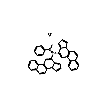 C[Si](c1ccccc1)=[Zr+2]([C]1=Cc2c(ccc3ccccc23)C2C=CC=C12)[C]1=Cc2c(ccc3ccccc23)C2C=CC=C12.[Cl-].[Cl-]